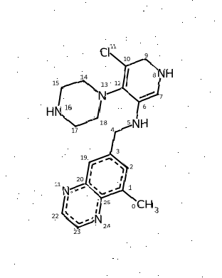 Cc1cc(CNC2=CNCC(Cl)=C2N2CCNCC2)cc2nccnc12